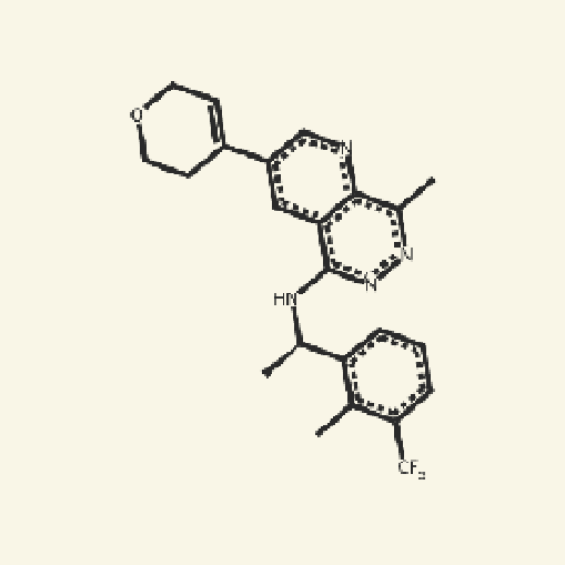 Cc1c([C@@H](C)Nc2nnc(C)c3ncc(C4=CCOCC4)cc23)cccc1C(F)(F)F